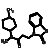 CN1CCC(N(C)C(=O)CCn2c(=O)oc3ccccc32)CC1